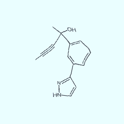 CC#CC(C)(O)c1cccc(-c2cc[nH]n2)c1